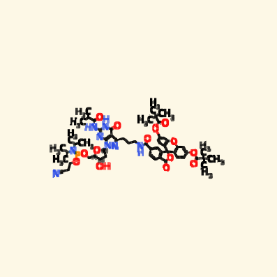 CC(C)C(=O)Nc1nc2c(c(CCCNC(=O)c3ccc4c(c3)C3(OC4=O)c4ccc(OC(=O)C(C)(C)C)cc4Oc4cc(OC(=O)C(C)(C)C)ccc43)nn2[C@H]2C[C@H](O)[C@@H](COP(OCCC#N)N(C(C)C)C(C)C)O2)c(=O)[nH]1